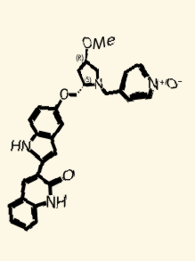 CO[C@@H]1C[C@@H](COc2ccc3[nH]c(-c4cc5ccccc5[nH]c4=O)cc3c2)N(Cc2cc[n+]([O-])cc2)C1